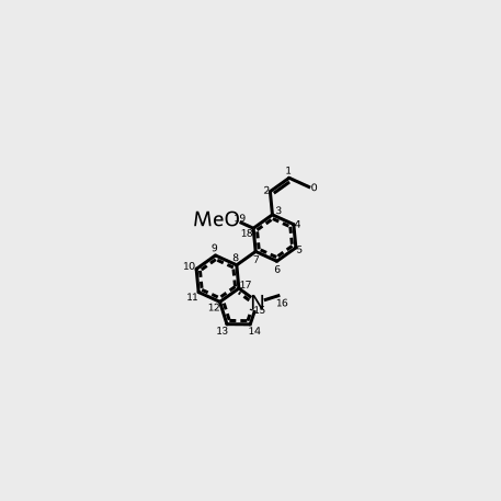 C/C=C\c1cccc(-c2cccc3ccn(C)c23)c1OC